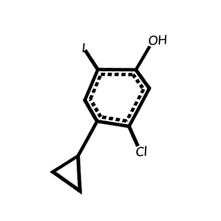 Oc1cc(Cl)c(C2CC2)cc1I